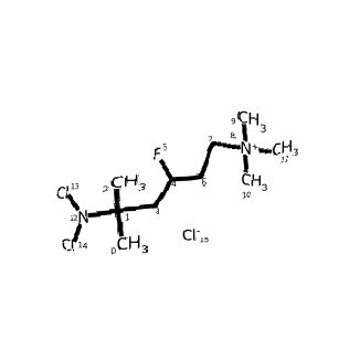 CC(C)(CC(F)CC[N+](C)(C)C)N(Cl)Cl.[Cl-]